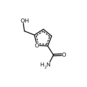 NC(=O)c1ccc(CO)o1